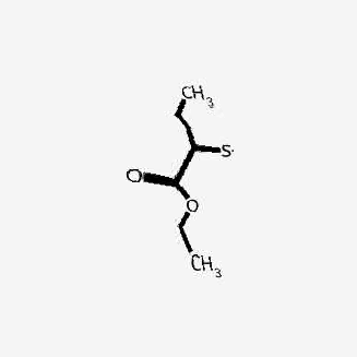 CCOC(=O)C([S])CC